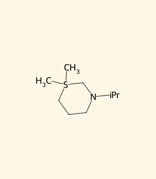 CC(C)N1CCCS(C)(C)C1